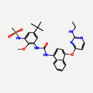 CCNc1nccc(Oc2ccc(NC(=O)Nc3cc(C(C)(C)C)cc(NS(C)(=O)=O)c3OC)c3ccccc23)n1